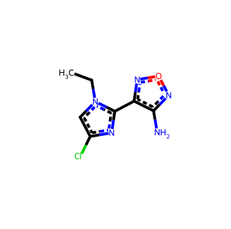 CCn1cc(Cl)nc1-c1nonc1N